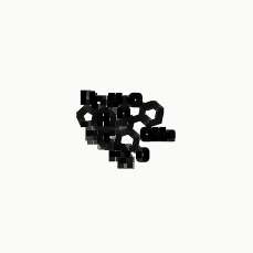 CC[C@H]1CC[C@H]2[C@@H]3CC[C@H]4N(CC)C(=O)CC(C(=O)c5c(OC)cccc5OC)[C@]4(C)[C@H]3CC[C@]12C